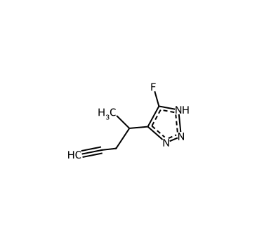 C#CCC(C)c1nn[nH]c1F